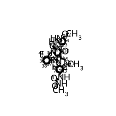 CONC(=O)Nc1ccc(-n2nc3c(c2CN(C)C)c(=O)n(C2=CC=C(OC)NN2)c(=O)n3Cc2c(F)cccc2F)cc1